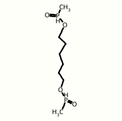 C[PH](=O)OCCCCCCO[PH](C)=O